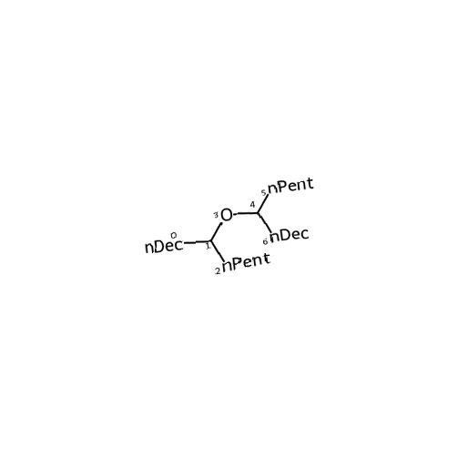 CCCCCCCCCCC(CCCCC)OC(CCCCC)CCCCCCCCCC